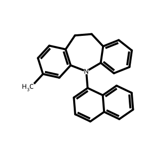 Cc1ccc2c(c1)N(c1cccc3ccccc13)c1ccccc1CC2